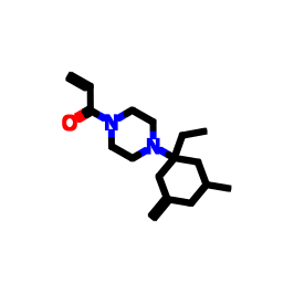 C=CC(=O)N1CCN(C2(CC)CC(=C)CC(C)C2)CC1